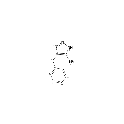 CCCCc1[nH]nnc1Cc1ccccc1